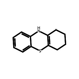 [CH]1CCCC2=C1Nc1ccccc1S2